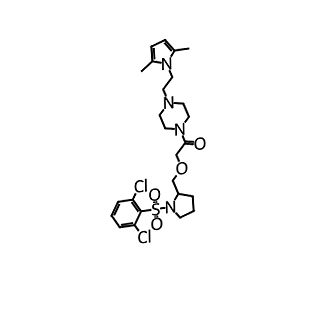 Cc1ccc(C)n1CCN1CCN(C(=O)COCC2CCCN2S(=O)(=O)c2c(Cl)cccc2Cl)CC1